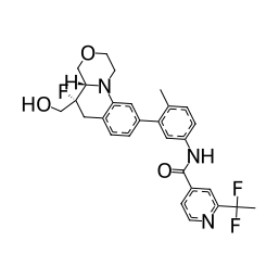 Cc1ccc(NC(=O)c2ccnc(C(C)(F)F)c2)cc1-c1ccc2c(c1)N1CCOC[C@H]1[C@](F)(CO)C2